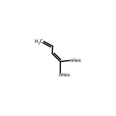 C=CC=C(CCCCCC)CCCCCC